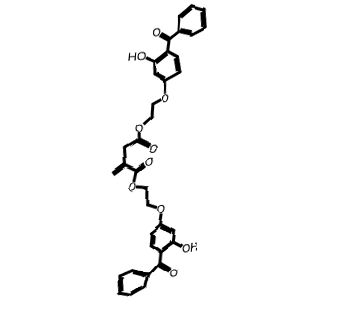 C=C(CC(=O)OCCOc1ccc(C(=O)c2ccccc2)c(O)c1)C(=O)OCCOc1ccc(C(=O)c2ccccc2)c(O)c1